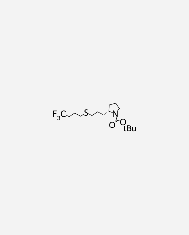 CC(C)(C)OC(=O)N1CCC[C@H]1CCCSCCCC(F)(F)F